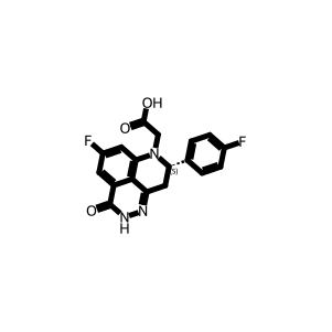 O=C(O)CN1c2cc(F)cc3c(=O)[nH]nc(c23)C[C@H]1c1ccc(F)cc1